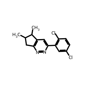 CC1Cc2nnc(-c3cc(Cl)ccc3Cl)cc2C1C